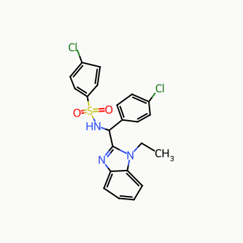 CCn1c(C(NS(=O)(=O)c2ccc(Cl)cc2)c2ccc(Cl)cc2)nc2ccccc21